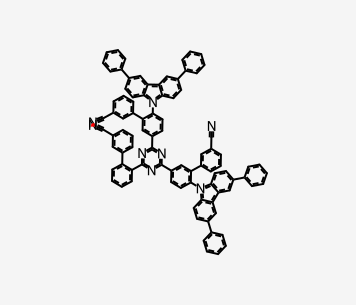 N#Cc1cccc(-c2ccccc2-c2nc(-c3ccc(-n4c5ccc(-c6ccccc6)cc5c5cc(-c6ccccc6)ccc54)c(-c4cccc(C#N)c4)c3)nc(-c3ccc(-n4c5ccc(-c6ccccc6)cc5c5cc(-c6ccccc6)ccc54)c(-c4cccc(C#N)c4)c3)n2)c1